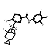 C[C@H]1C[C@H]2C[C@]3(CO3)CC1C2S(=O)(=O)c1cc(C(=O)Nc2cc(F)c(F)c(F)c2)ccc1N